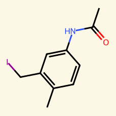 CC(=O)Nc1ccc(C)c(CI)c1